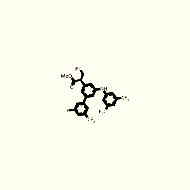 COC(=O)C(CC(C)C)c1cc(Nc2cc(C(F)(F)F)cc(C(F)(F)F)c2)cc(-c2cc(F)cc(C(F)(F)F)c2)c1